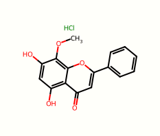 COc1c(O)cc(O)c2c(=O)cc(-c3ccccc3)oc12.Cl